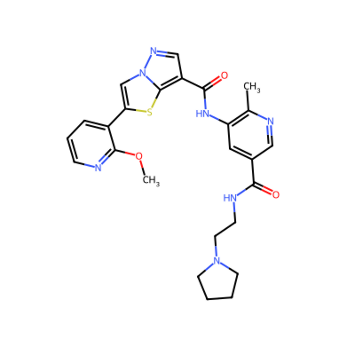 COc1ncccc1-c1cn2ncc(C(=O)Nc3cc(C(=O)NCCN4CCCC4)cnc3C)c2s1